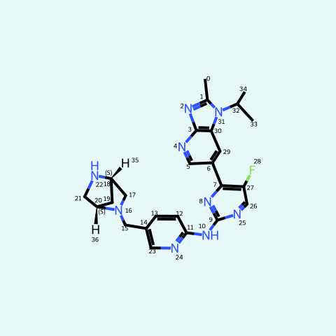 Cc1nc2ncc(-c3nc(Nc4ccc(CN5C[C@@H]6C[C@H]5CN6)cn4)ncc3F)cc2n1C(C)C